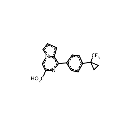 O=C(O)c1cn2cccc2c(-c2ccc(C3(C(F)(F)F)CC3)cc2)n1